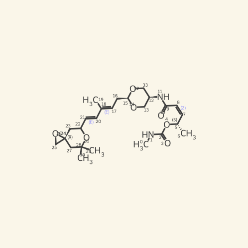 CNC(=O)O[C@@H](C)/C=C\C(=O)N[C@H]1CO[C@@H](C/C=C(C)/C=C/C2C[C@]3(CO3)CC(C)(C)O2)OC1